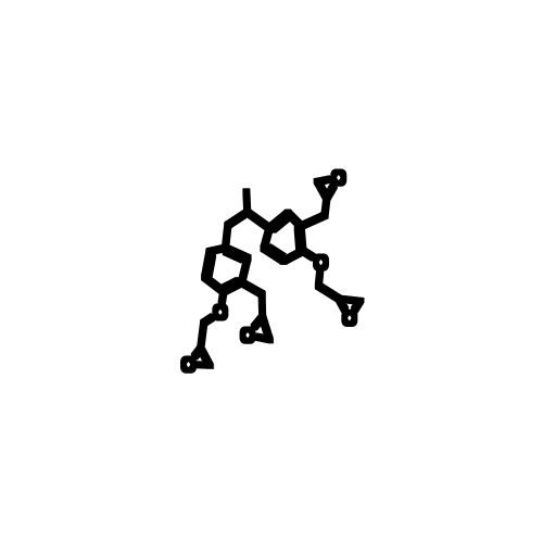 CC(Cc1ccc(OCC2CO2)c(CC2CO2)c1)c1ccc(OCC2CO2)c(CC2CO2)c1